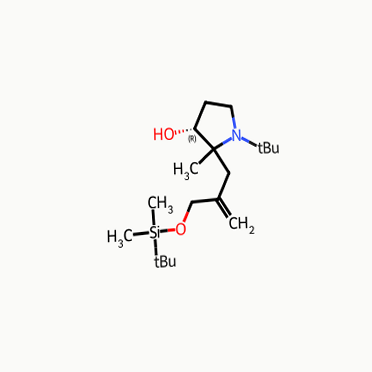 C=C(CO[Si](C)(C)C(C)(C)C)CC1(C)[C@H](O)CCN1C(C)(C)C